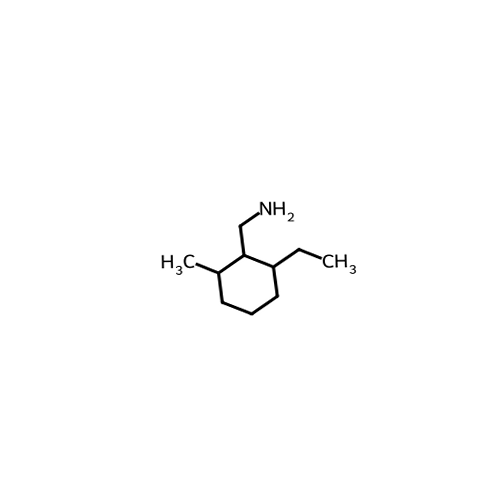 CCC1CCCC(C)C1CN